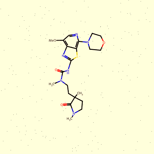 COc1cnc(N2CCOCC2)c2sc(NC(=O)N(C)CCC3(C)CCN(C)C3=O)nc12